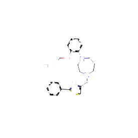 CCOc1ccccc1N1CCCN(Cc2csc(-c3ccccc3)n2)CC1